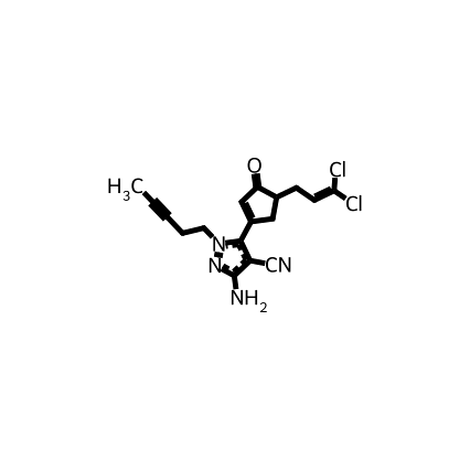 CC#CCCn1nc(N)c(C#N)c1C1=CC(=O)C(CC=C(Cl)Cl)C1